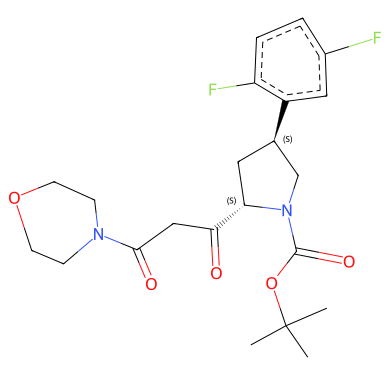 CC(C)(C)OC(=O)N1C[C@H](c2cc(F)ccc2F)C[C@H]1C(=O)CC(=O)N1CCOCC1